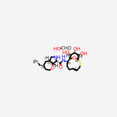 CC(C)C[C@@H]1CCO[C@@H]2[C@H](CN[C@@H]2C(=O)N[C@@H]2CC/C=C/CS[C@H]3O[C@H]2[C@H](O)[C@H](O)[C@H]3O)C1.O=CO